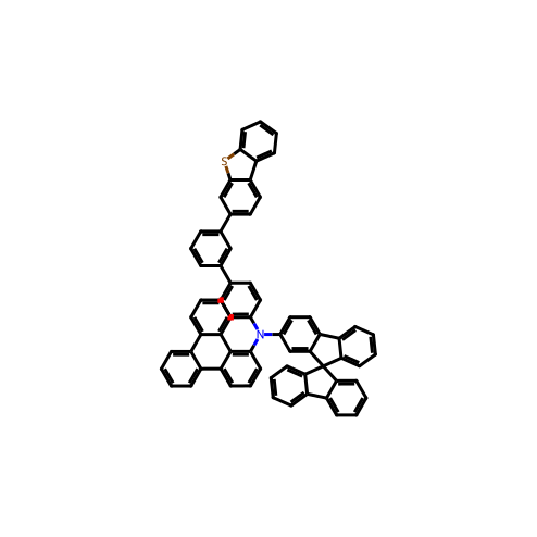 c1cc(-c2ccc(N(c3ccc4c(c3)C3(c5ccccc5-c5ccccc53)c3ccccc3-4)c3cccc4c5ccccc5c5ccccc5c34)cc2)cc(-c2ccc3c(c2)sc2ccccc23)c1